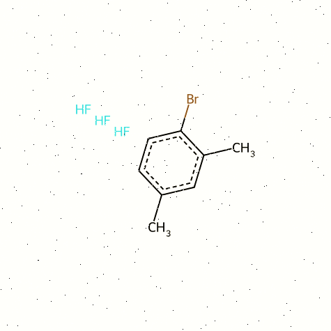 Cc1ccc(Br)c(C)c1.F.F.F